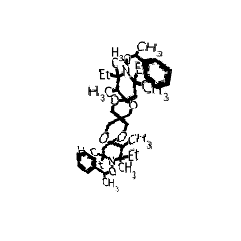 CCC1(C)CC2(OCC3(CO2)COC2(CC(C)(CC)N(OC(C)c4ccccc4)C(C)(CC)C2C)OC3)C(C)C(C)(CC)N1OC(C)c1ccccc1